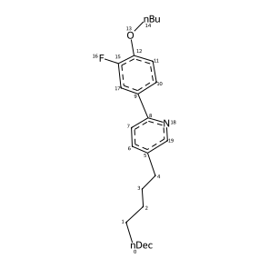 CCCCCCCCCCCCCCc1ccc(-c2ccc(OCCCC)c(F)c2)nc1